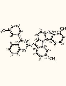 Cc1cccc(-c2nc(-n3c4ccc(C)cc4c4c5c(ccc43)sc3c(C)cccc35)nc3ccccc23)c1